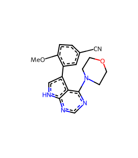 COc1ccc(C#N)cc1-c1c[nH]c2ncnc(N3CCOCC3)c12